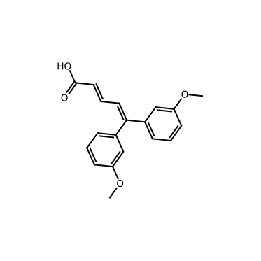 COc1cccc(C(=C/C=C/C(=O)O)c2cccc(OC)c2)c1